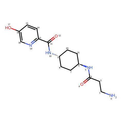 NCCC(=O)N[C@H]1CC[C@H](NC(=O)c2ccc(O)cn2)CC1